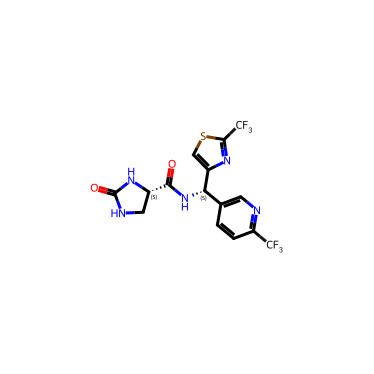 O=C1NC[C@@H](C(=O)N[C@@H](c2ccc(C(F)(F)F)nc2)c2csc(C(F)(F)F)n2)N1